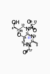 C=C(/N=C1\C(=C)O[C@@H](CO)CN1S(C)(=O)=O)NC=O